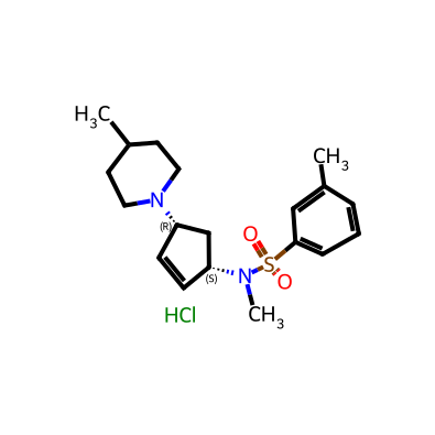 Cc1cccc(S(=O)(=O)N(C)[C@@H]2C=C[C@H](N3CCC(C)CC3)C2)c1.Cl